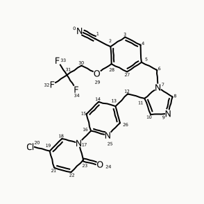 N#Cc1ccc(Cn2cncc2Cc2ccc(-n3cc(Cl)ccc3=O)nc2)cc1OCC(F)(F)F